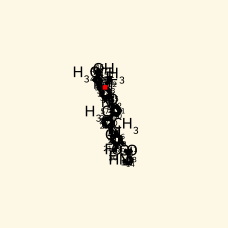 Cc1c(-c2nc3cc(COC(=O)[C@@H]4CCCN4)c(OC(F)F)cc3o2)cccc1-c1cccc(-c2nc3cc(CN4CC(C(C)(C)O)C4)c(OC(F)F)cc3o2)c1C